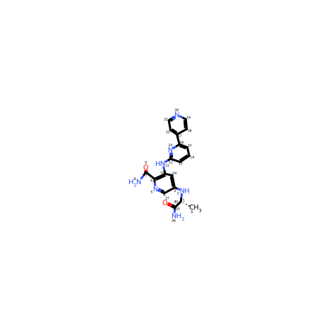 C[C@@H](Nc1cnc(C(N)=O)c(Nc2cccc(-c3ccncc3)n2)c1)C(N)=O